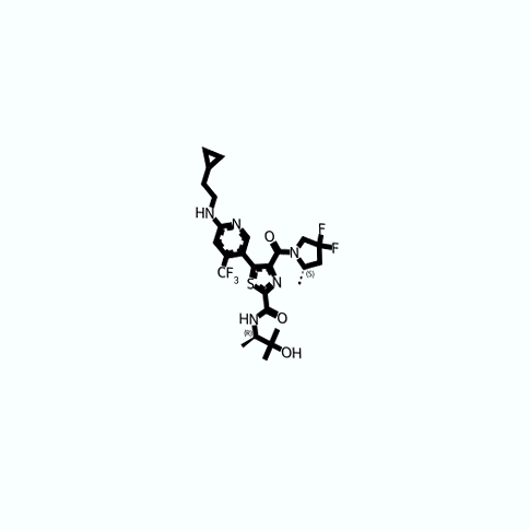 C[C@H]1CC(F)(F)CN1C(=O)c1nc(C(=O)N[C@H](C)C(C)(C)O)sc1-c1cnc(NCCC2CC2)cc1C(F)(F)F